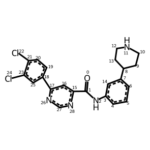 O=C(Nc1cccc(C2CCNCC2)c1)c1cc(-c2ccc(Cl)c(Cl)c2)ncn1